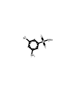 CNS(=O)(=O)c1cc(N)cc(C#N)c1